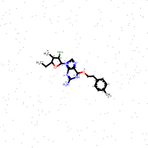 CCC1OC(n2cnc3c2N=C(N)NC3OCCc2ccc(C)cc2)C([18F])C1C